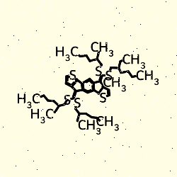 CCCCC(CC)CSC(SCC(CC)CCCC)=C1c2cc3c(cc2-c2sccc21)C(=C(SCC(CC)CCCC)SCC(CC)CCCC)C1(C)C=CSC31